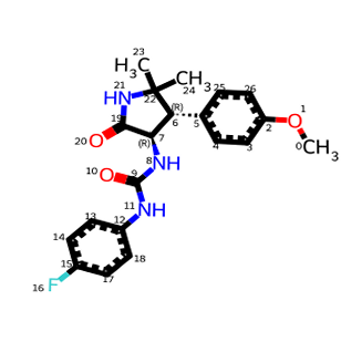 COc1ccc([C@@H]2[C@@H](NC(=O)Nc3ccc(F)cc3)C(=O)NC2(C)C)cc1